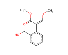 COC=C(C(=O)OC)c1ccccc1CO